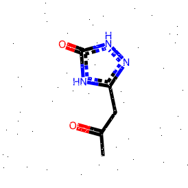 CC(=O)Cc1n[nH]c(=O)[nH]1